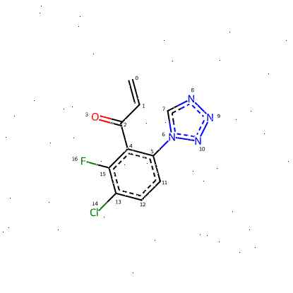 C=CC(=O)c1c(-n2cnnn2)ccc(Cl)c1F